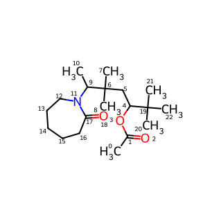 CC(=O)OC(CC(C)(C)C(C)N1CCCCCC1=O)C(C)(C)C